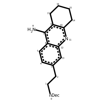 CCCCCCCCCCCCc1ccc2c(N)c3c(nc2c1)CCCC3